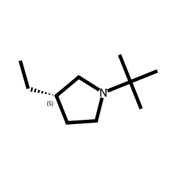 CC[C@H]1CCN(C(C)(C)C)C1